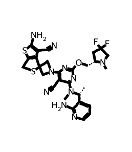 C[C@H](c1cccnc1N)N(C)c1nc(OC[C@@H]2CC(F)(F)CN2C)nc(N2CC3(C2)SCc2sc(N)c(C#N)c23)c1C#N